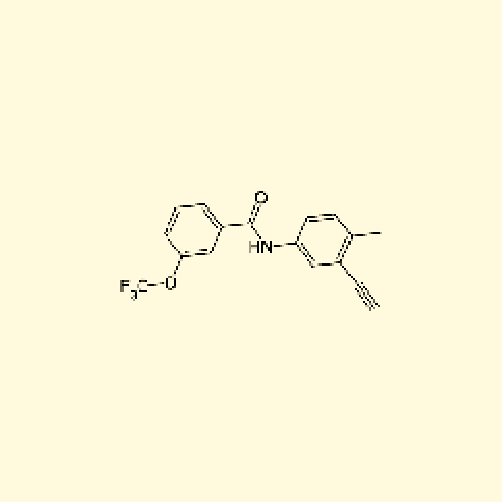 C#Cc1cc(NC(=O)c2cccc(OC(F)(F)F)c2)ccc1C